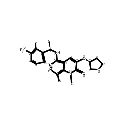 Cc1c([C@@H](C)Nc2nnc(C)c3c2cc(O[C@H]2CCOC2)c(=O)n3C)cccc1C(F)(F)F